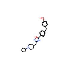 Oc1ccc(Cc2ccc(-c3nc(CC4CCN(C5CCCC5)CC4)no3)cc2)cc1